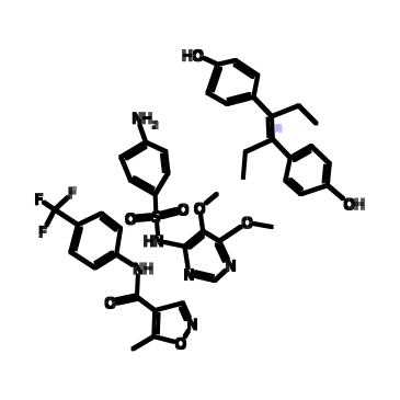 CC/C(=C(/CC)c1ccc(O)cc1)c1ccc(O)cc1.COc1ncnc(NS(=O)(=O)c2ccc(N)cc2)c1OC.Cc1oncc1C(=O)Nc1ccc(C(F)(F)F)cc1